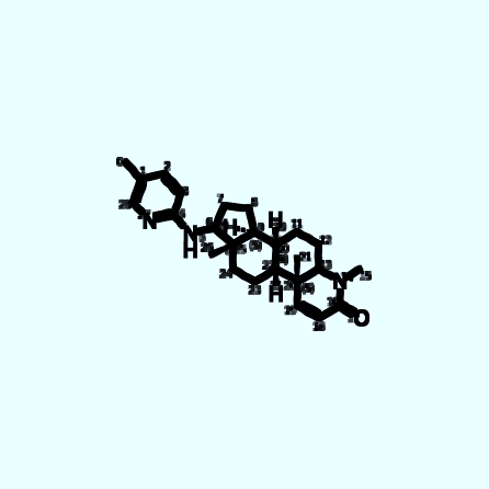 Cc1ccc(NC2CC[C@H]3[C@@H]4CCC5N(C)C(=O)C=C[C@]5(C)[C@@H]4CC[C@]23C)nc1